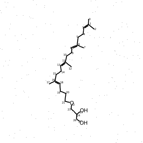 CC(C)=CCC/C(C)=C/CC/C(C)=C/CCC(C)=CCCCOCC(O)CO